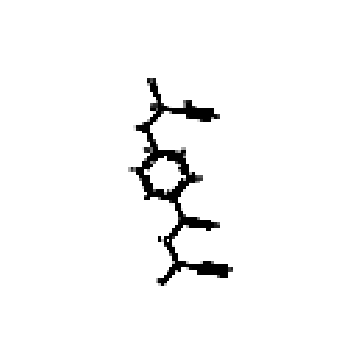 C#CC(C)OC(=O)c1cnc(O[C@@H](C)C#C)cn1